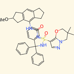 COC1Cc2cc3c(c(NC(=O)N=S(=O)(NC(c4ccccc4)(c4ccccc4)c4ccccc4)c4cnn5c4OCC(C)(C)C5)c2C1)CCC3